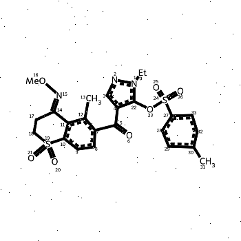 CCn1ncc(C(=O)c2ccc3c(c2C)C(=NOC)CCS3(=O)=O)c1OS(=O)(=O)c1ccc(C)cc1